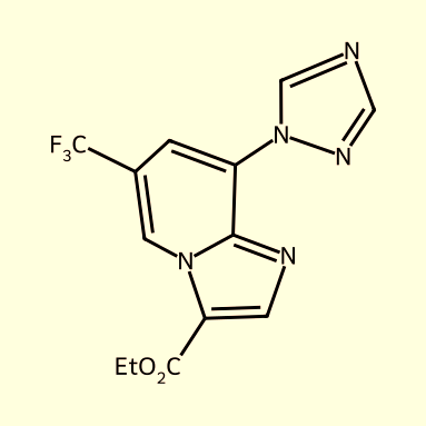 CCOC(=O)c1cnc2c(-n3cncn3)cc(C(F)(F)F)cn12